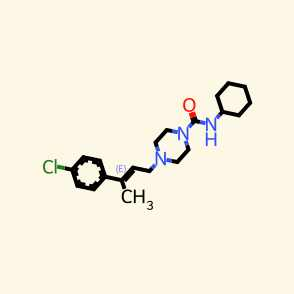 C/C(=C\CN1CCN(C(=O)NC2CCCCC2)CC1)c1ccc(Cl)cc1